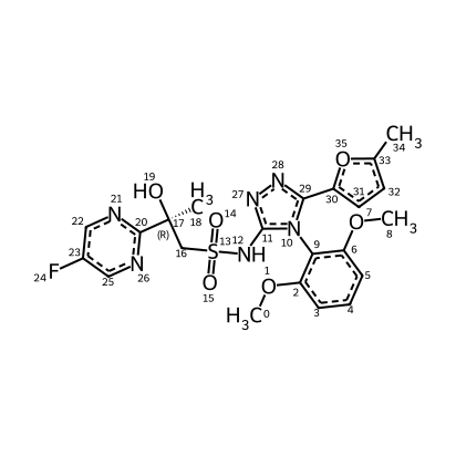 COc1cccc(OC)c1-n1c(NS(=O)(=O)C[C@](C)(O)c2ncc(F)cn2)nnc1-c1ccc(C)o1